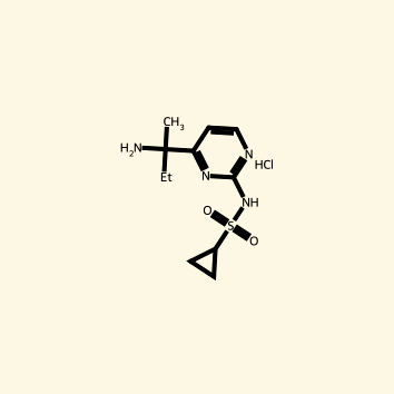 CCC(C)(N)c1ccnc(NS(=O)(=O)C2CC2)n1.Cl